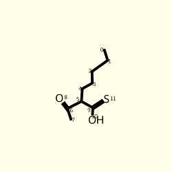 CCCCCC(C(C)=O)C(O)=S